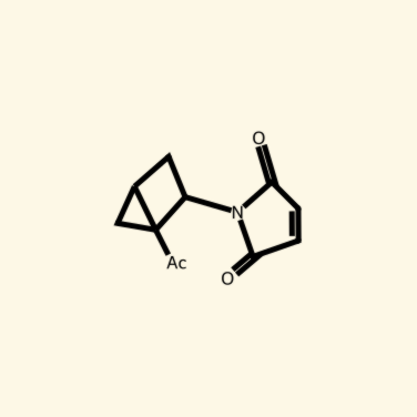 CC(=O)C12CC1CC2N1C(=O)C=CC1=O